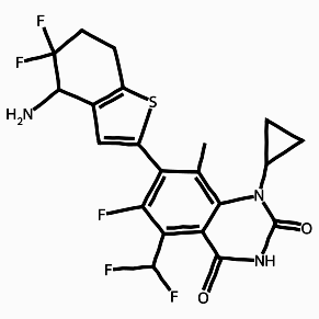 Cc1c(-c2cc3c(s2)CCC(F)(F)C3N)c(F)c(C(F)F)c2c(=O)[nH]c(=O)n(C3CC3)c12